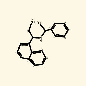 CC(NC(CN)c1cccc2ccccc12)c1ccccc1